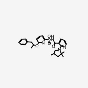 CC1CN(c2ncccc2C(=O)NS(=O)(=O)c2cccc(OC(C)Cc3ccccc3)n2)C(C)(C)C1